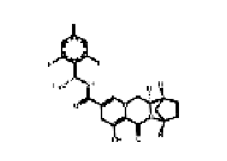 C[C@@H](NC(=O)C1=CN2C[C@H]3[C@@H]4CC[C@@H](C4)N3C(=O)C2=C(O)C1)c1c(F)cc(F)cc1F